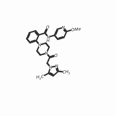 COc1ccc(NC(=O)c2ccccc2N2CCN(C(=O)Cn3nc(C)cc3C)CC2)cn1